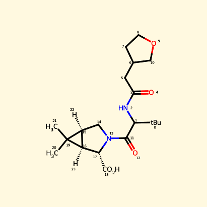 CC(C)(C)C(NC(=O)CC1CCOC1)C(=O)N1C[C@H]2[C@@H]([C@H]1C(=O)O)C2(C)C